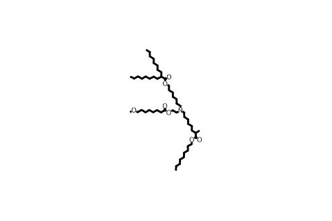 CCCCCCCCCOC(=O)C(C)CCCCCCN(CCCCCCCOC(=O)C(CCCCCCCC)CCCCCCCC)CCOC(=O)CCCCCCCOC